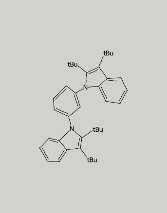 CC(C)(C)c1c(C(C)(C)C)n(-c2cccc(-n3c(C(C)(C)C)c(C(C)(C)C)c4ccccc43)c2)c2ccccc12